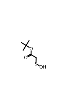 CC(C)(C)OC(=O)CSO